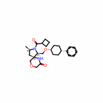 C[C@@H]1C[C@@]2(COCC(=O)N2)[C@H](CO[C@H]2CC[C@@H](c3ccccc3)CC2)N1C(=O)C1CCC1